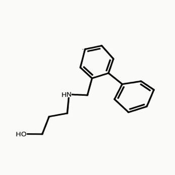 OCCCNCc1c[c]ccc1-c1ccccc1